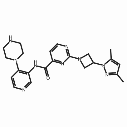 Cc1cc(C)n(C2CN(c3nccc(C(=O)Nc4cnccc4N4CCNCC4)n3)C2)n1